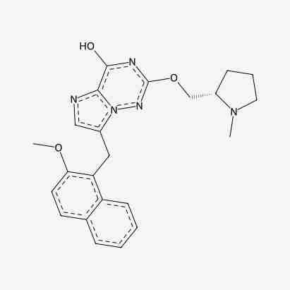 COc1ccc2ccccc2c1Cc1cnc2c(O)nc(OC[C@@H]3CCCN3C)nn12